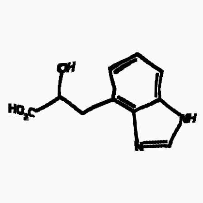 O=C(O)C(O)Cc1cccc2[nH]cnc12